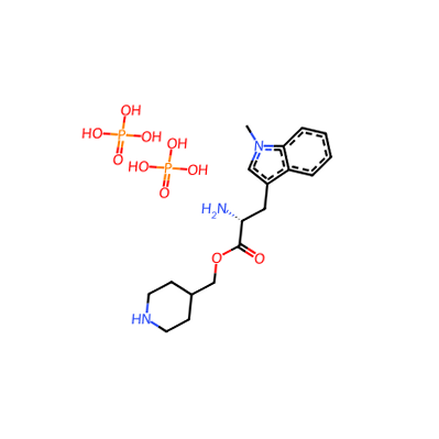 Cn1cc(C[C@@H](N)C(=O)OCC2CCNCC2)c2ccccc21.O=P(O)(O)O.O=P(O)(O)O